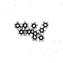 c1ccc(-c2ccc(N(c3ccccc3)c3cc4c(c5ccccc35)c3cc5c(cc3n4-c3ccccc3)B3c4ccccc4N(c4ccccc4)c4cccc(c43)O5)cc2)cc1